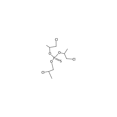 CC(Cl)COP(=S)(OC(C)CCl)OC(C)CCl